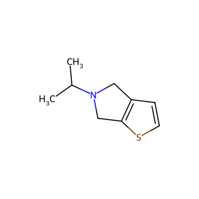 CC(C)N1Cc2ccsc2C1